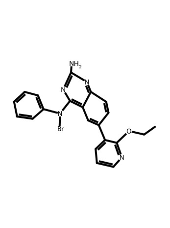 CCOc1ncccc1-c1ccc2nc(N)nc(N(Br)c3ccccc3)c2c1